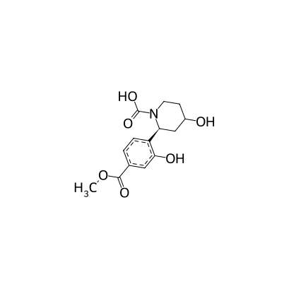 COC(=O)c1ccc([C@@H]2CC(O)CCN2C(=O)O)c(O)c1